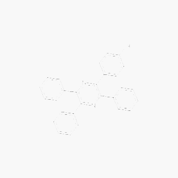 Brc1ccc(-c2nc(-c3ccccc3)c(-c3ccccc3)nc2-c2ccccc2)cc1